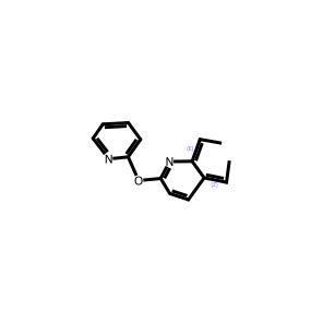 C/C=c1/ccc(Oc2ccccn2)n/c1=C/C